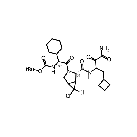 CC(C)(C)OC(=O)N[C@H](C(=O)N1CC2C([C@H]1C(=O)NC(CC1CCC1)C(=O)C(N)=O)C2(Cl)Cl)C1CCCCC1